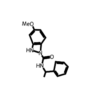 COc1ccc2c(c1)[nH]n2C(=O)NC(C)c1ccccc1